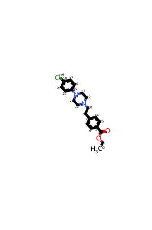 CCOC(=O)c1ccc(CCN2CCN(c3ccc(Cl)cc3)CC2)cc1